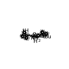 Cc1ccc(C(NCCCCC(N)C(=O)Nc2ccc(CO[Si](c3ccccc3)(c3ccccc3)C(C)(C)C)cc2)(c2ccccc2)c2ccccc2)cc1